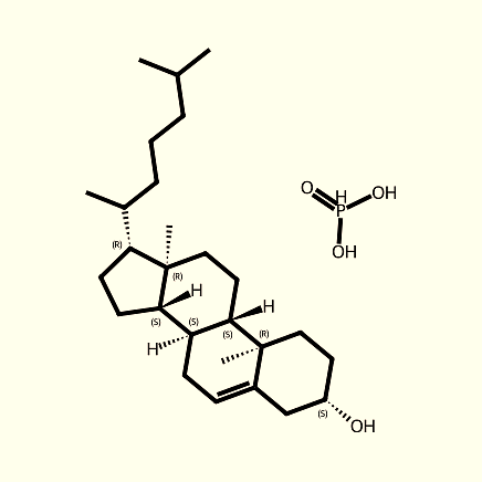 CC(C)CCCC(C)[C@H]1CC[C@H]2[C@@H]3CC=C4C[C@@H](O)CC[C@]4(C)[C@H]3CC[C@]12C.O=[PH](O)O